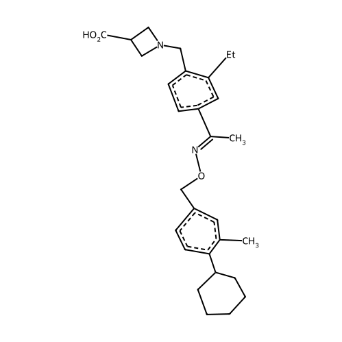 CCc1cc(/C(C)=N/OCc2ccc(C3CCCCC3)c(C)c2)ccc1CN1CC(C(=O)O)C1